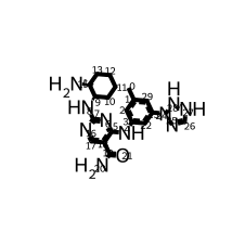 Cc1cc(Nc2nc(N[C@@H]3CCCC[C@@H]3N)ncc2C(N)=O)cc(N2N=CNN2)c1